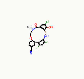 CN1CCOc2ccc(C#N)cc2-c2cc(c(F)cc2F)NSc2cc(cc(Cl)c2O)C1=O